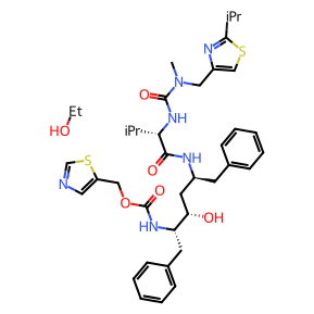 CC(C)c1nc(CN(C)C(=O)N[C@H](C(=O)N[C@@H](Cc2ccccc2)C[C@H](O)[C@H](Cc2ccccc2)NC(=O)OCc2cncs2)C(C)C)cs1.CCO